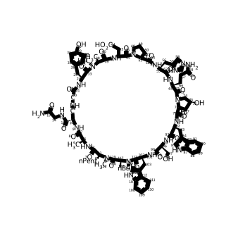 CCCCC[C@H]1C(=O)N[C@@H](C)C(=O)N[C@H](C(=O)NCC(N)=O)CNCC(=O)N[C@@H](Cc2ccc(O)cc2)C(=O)N(C)[C@@H](C)C(=O)NC(CC(=O)O)C(=O)N2CCC[C@H]2C(=O)N[C@@H](Cc2cnc[nH]2)C(=O)N[C@@H](CCC(N)=O)C(=O)N2C[C@H](O)C[C@H]2C(=O)N[C@@H](Cc2c[nH]c3ccccc23)C(=O)N[C@@H](CO)C(=O)N[C@@H](Cc2c[nH]c3ccccc23)C(=O)N(C)[C@@H](CCCC)C(=O)N1C